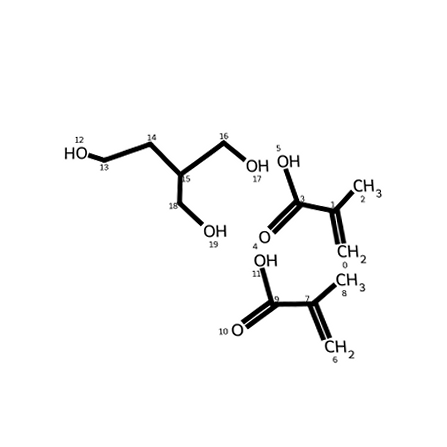 C=C(C)C(=O)O.C=C(C)C(=O)O.OCCC(CO)CO